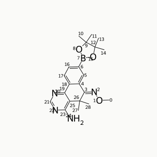 CON=C1c2cc(B3OC(C)(C)C(C)(C)O3)ccc2-c2ncnc(N)c2C1(C)C